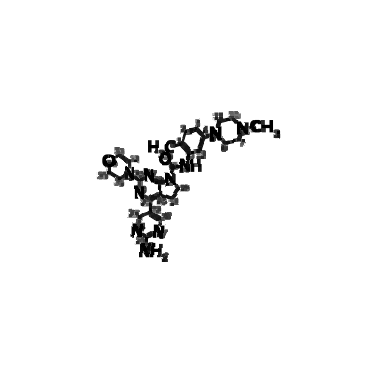 Cc1ccc(N2CCN(C)CC2)cc1NC(=O)N1CCc2c(-c3cnc(N)nc3)nc(N3C=COCC3)nc21